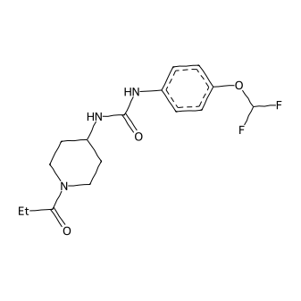 CCC(=O)N1CCC(NC(=O)Nc2ccc(OC(F)F)cc2)CC1